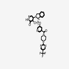 Cc1c(N2Cc3ccccc3[C@@H]2COc2cncc(C(=O)N3CCN(c4ncc(C(F)(F)F)cn4)CC3)c2)cn[nH]c1=O